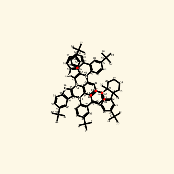 CC(C)(C)c1ccc(N2c3cc(N4c5ccc(C(C)(C)C)cc5C5(C)CCCCC45C)cc4c3B(c3sc5ccc(C(C)(C)C)cc5c32)c2sc3ccc(C(C)(C)C)cc3c2N4c2ccc(C(C)(C)C)cc2-c2ccccc2)c(-c2ccccc2)c1